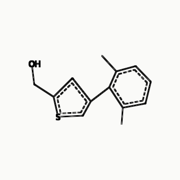 Cc1cccc(C)c1-c1csc(CO)c1